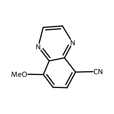 COc1ccc(C#N)c2nccnc12